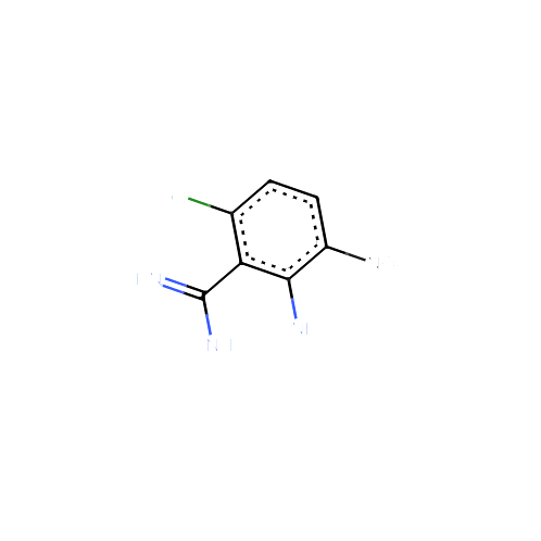 N=C(N)c1c(Cl)ccc([N+](=O)[O-])c1N